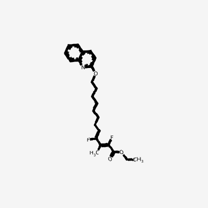 CCOC(=O)C(F)=C(C)C(F)=CCCCCCCCOc1ccc2ccccc2n1